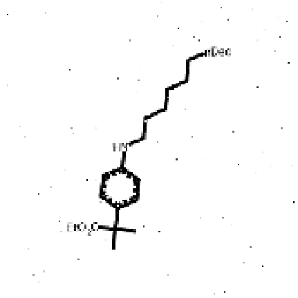 CCCCCCCCCCCCCCCCNc1ccc(C(C)(C)C(=O)OCC)cc1